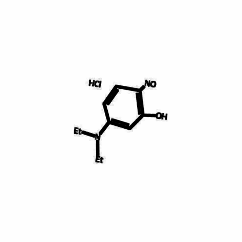 CCN(CC)c1ccc(N=O)c(O)c1.Cl